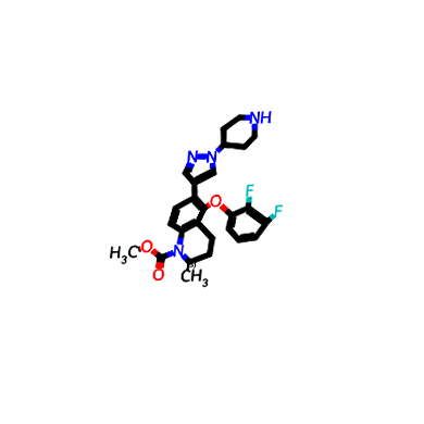 COC(=O)N1c2ccc(-c3cnn(C4CCNCC4)c3)c(Oc3cccc(F)c3F)c2CC[C@@H]1C